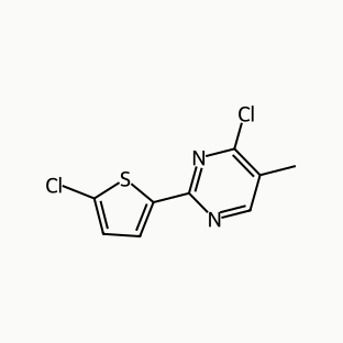 Cc1cnc(-c2ccc(Cl)s2)nc1Cl